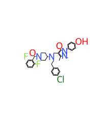 Cc1c(CN(CCc2ccc(Cl)cc2)C2CCN(C(=O)c3c(F)cccc3F)CC2)c(=O)n(-c2ccc(O)cc2)n1C